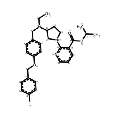 CCN(Cc1ccc(OCc2ccc(F)cc2)cc1)C1CCN(c2ncccc2C(=O)OC(C)C)C1